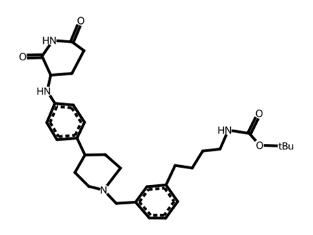 CC(C)(C)OC(=O)NCCCCc1cccc(CN2CCC(c3ccc(NC4CCC(=O)NC4=O)cc3)CC2)c1